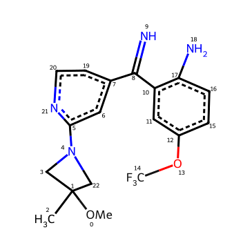 COC1(C)CN(c2cc(C(=N)c3cc(OC(F)(F)F)ccc3N)ccn2)C1